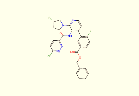 O=C(OCc1ccccc1)c1ccc(F)c(-c2ccnc(N3CC[C@H](F)C3)c2NC(=O)c2ccc(Cl)nn2)c1